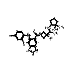 CC(NC1CCCC1(C)O)C1(O)CN(C(=O)c2cc3[nH]nnc3cc2Nc2ccc(I)cc2F)C1